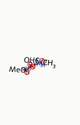 C/C=C\C(=O)N(C=O)CCOC(=O)/C=C/C(=O)OC